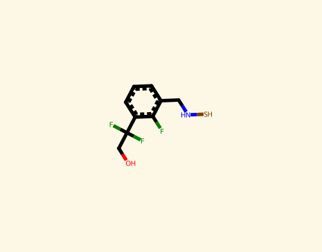 OCC(F)(F)c1cccc(CNS)c1F